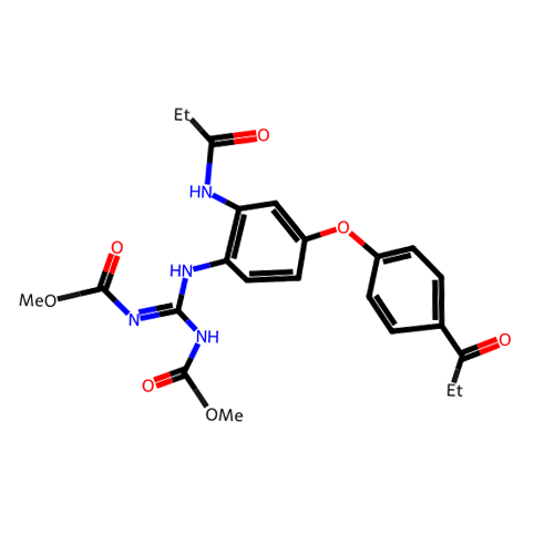 CCC(=O)Nc1cc(Oc2ccc(C(=O)CC)cc2)ccc1NC(=NC(=O)OC)NC(=O)OC